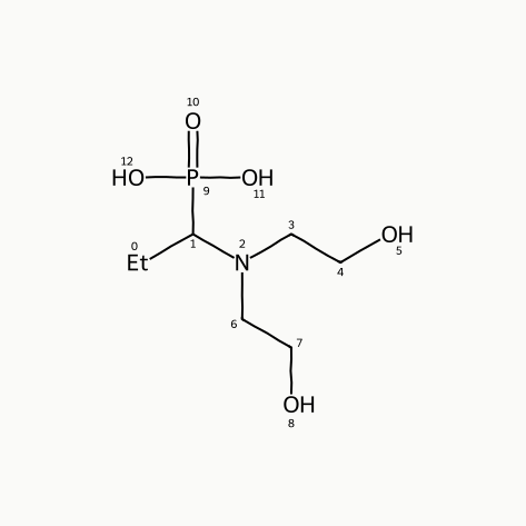 CCC(N(CCO)CCO)P(=O)(O)O